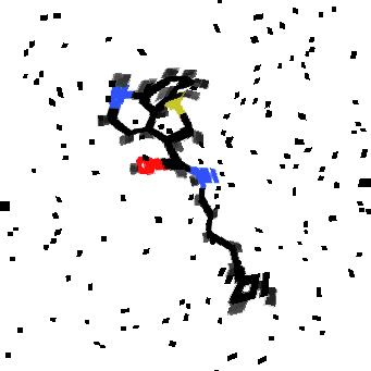 CCCCCCNC(=O)C1CSC23CC=CC=C2N=CCC13